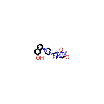 CCC(Cn1ncc(=O)n(C)c1=O)N1CCN(c2cccc3ccc(O)cc23)CC1